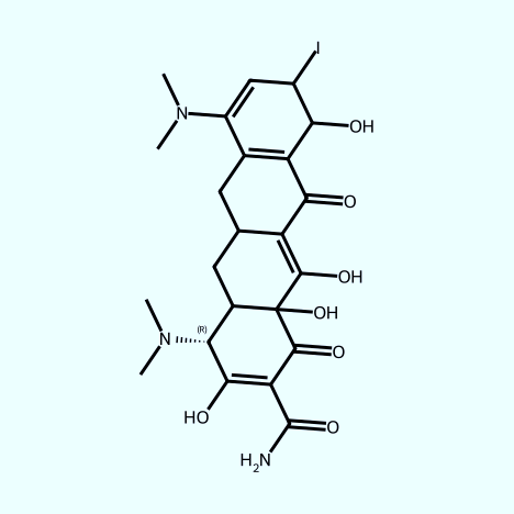 CN(C)C1=CC(I)C(O)C2=C1CC1CC3[C@@H](N(C)C)C(O)=C(C(N)=O)C(=O)C3(O)C(O)=C1C2=O